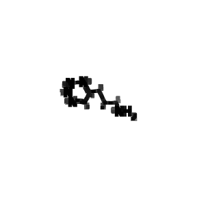 NCCCc1cnnnn1